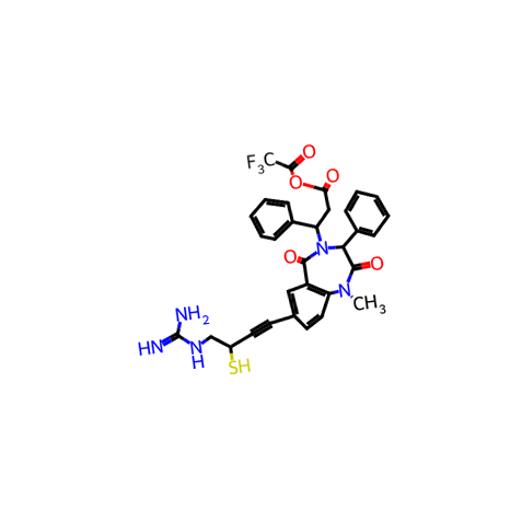 CN1C(=O)C(c2ccccc2)N(C(CC(=O)OC(=O)C(F)(F)F)c2ccccc2)C(=O)c2cc(C#CC(S)CNC(=N)N)ccc21